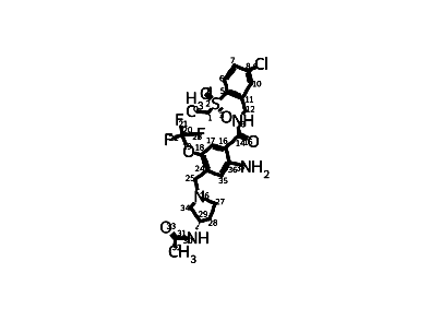 CCS(=O)(=O)c1ccc(Cl)cc1CNC(=O)c1cc(OC(F)(F)F)c(CN2CC[C@H](NC(C)=O)C2)cc1N